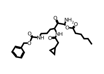 CCCCCC(=O)OC(N)C(=O)C(CCCNC(=O)OCc1ccccc1)NC(=O)CC1CC1